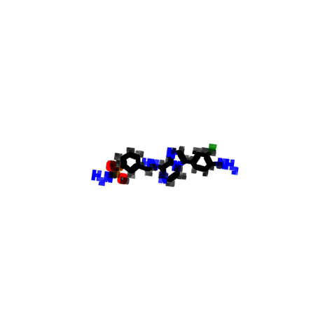 Nc1ccc(-c2cnc3c(NCc4cccc(S(N)(=O)=O)c4)nccn23)cc1F